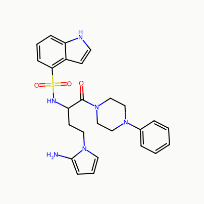 Nc1cccn1CCC(NS(=O)(=O)c1cccc2[nH]ccc12)C(=O)N1CCN(c2ccccc2)CC1